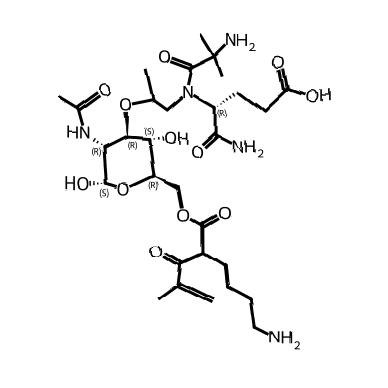 C=C(C)C(=O)C(CCCCN)C(=O)OC[C@H]1O[C@H](O)[C@H](NC(C)=O)[C@@H](OC(C)CN(C(=O)C(C)(C)N)[C@H](CCC(=O)O)C(N)=O)[C@@H]1O